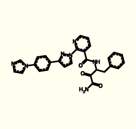 NC(=O)C(=O)C(Cc1ccccc1)NC(=O)c1cccnc1-n1ccc(-c2ccc(-n3ccnc3)cc2)n1